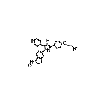 CN(C)CCOc1ccc(-c2nc(=c3ccc4c(c3)CCC=4N=O)c(=C3C=CNC=C3)[nH]2)cc1